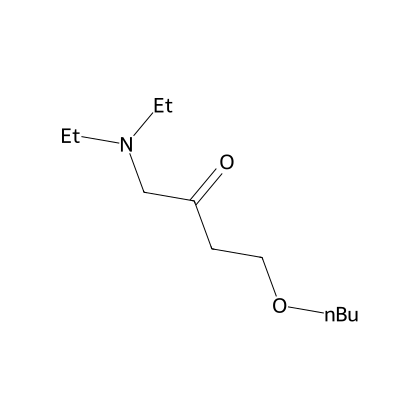 CCCCOCCC(=O)CN(CC)CC